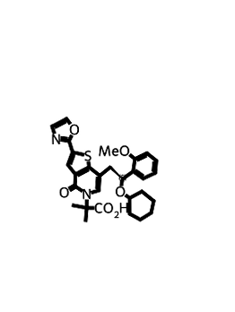 COc1ccccc1[C@H](Cc1cn(C(C)(C)C(=O)O)c(=O)c2cc(-c3ncco3)sc12)OC1CCCCC1